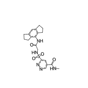 CNC(=O)c1cnnc(S(=O)(=O)NCC(=O)Nc2c3c(cc4c2CCC4)CCC3)c1